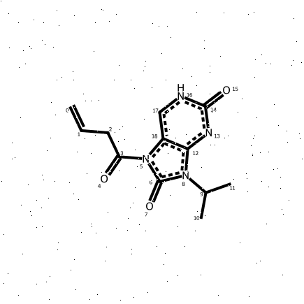 C=CCC(=O)n1c(=O)n(C(C)C)c2nc(=O)[nH]cc21